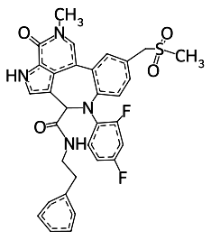 Cn1cc2c3c(c[nH]c3c1=O)C(C(=O)NCCc1ccccc1)N(c1ccc(F)cc1F)c1ccc(CS(C)(=O)=O)cc1-2